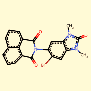 Cn1c(=O)n(C)c2cc(N3C(=O)c4cccc5cccc(c45)C3=O)c(Br)cc21